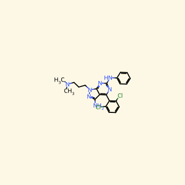 CN(C)CCCn1nc(N)c2c(-c3c(Cl)cccc3Cl)nc(Nc3ccccc3)nc21